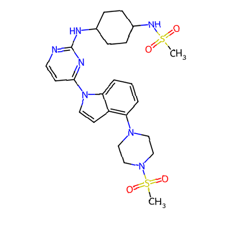 CS(=O)(=O)NC1CCC(Nc2nccc(-n3ccc4c(N5CCN(S(C)(=O)=O)CC5)cccc43)n2)CC1